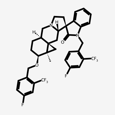 C[C@@]12C[C@@]13C[C@@H]1N(CC[C@@]14C(=O)N(Cc1ccc(F)cc1C(F)(F)F)c1ccccc14)C[C@@H]3CC[C@@H]2OCc1ccc(F)cc1C(F)(F)F